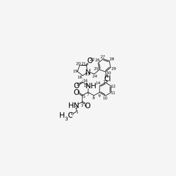 CCNC(=O)C(=O)C(Cc1ccccc1)NC(=O)[C@@H]1CCC(=O)N1Cc1ccccc1Cl